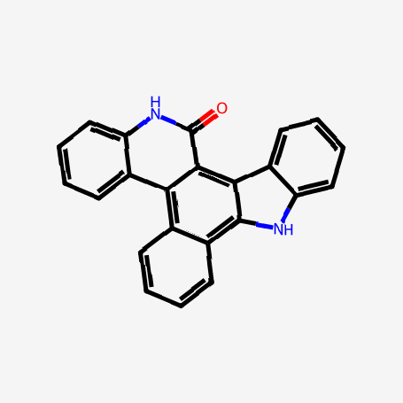 O=c1[nH]c2ccccc2c2c3ccccc3c3[nH]c4ccccc4c3c12